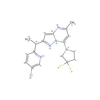 Cc1cc(N2CCC(F)(F)C2)n2nc(C(C)c3ccc(Cl)cn3)cc2n1